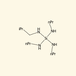 CCCN[Si](NCCC)(NCCC)NCC(C)C